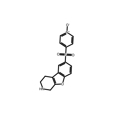 O=S(=O)(c1cc[n+]([O-])cc1)c1ccc2oc3c(c2c1)CCNC3